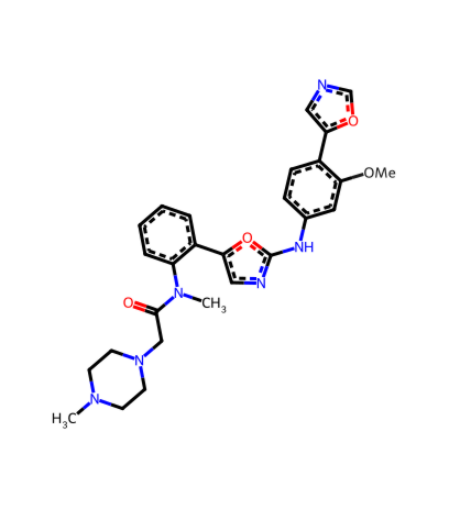 COc1cc(Nc2ncc(-c3ccccc3N(C)C(=O)CN3CCN(C)CC3)o2)ccc1-c1cnco1